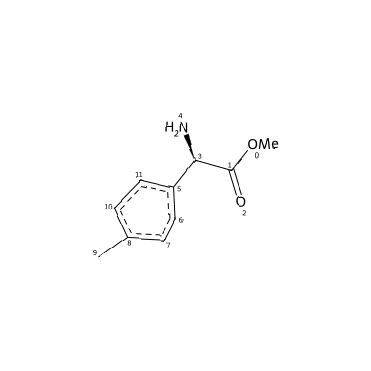 COC(=O)[C@H](N)c1ccc(C)cc1